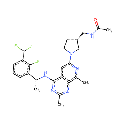 CC(=O)NC[C@@H]1CCN(c2cc3c(N[C@H](C)c4cccc(C(F)F)c4F)nc(C)nc3c(C)n2)C1